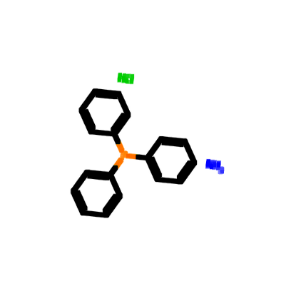 Cl.N.c1ccc(P(c2ccccc2)c2ccccc2)cc1